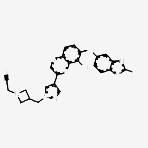 Cc1nc2ccc(Oc3ccc4ncc(-c5cnn(CC6CN(CC#N)C6)c5)nc4c3Cl)cc2[nH]1